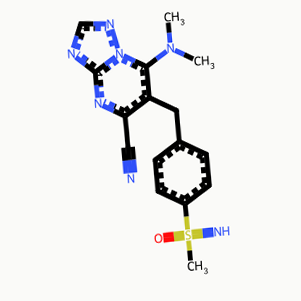 CN(C)c1c(Cc2ccc(S(C)(=N)=O)cc2)c(C#N)nc2ncnn12